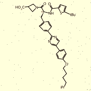 CC(C)CCCCOc1ccc(-c2cnc(-c3ccc(C[C@H](NC(=O)c4ccc(C(C)(C)C)s4)C(=O)N4CC(C(=O)O)C4)cc3)nc2)cc1